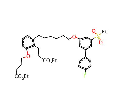 CCOC(=O)CCCOc1cccc(CCCCCCOc2cc(-c3ccc(F)cc3)cc(S(=O)(=O)CC)c2)c1CCC(=O)OCC